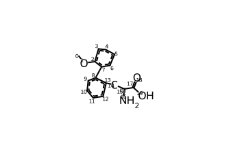 COc1ccccc1-c1ccccc1C[C@H](N)C(=O)O